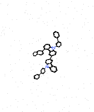 c1ccc(-c2ccc(-n3c4ccccc4c4cc(-c5ccc6c(c5)c5c(-c7ccc8ccccc8c7)cccc5n6-c5cccc(-c6ccccc6)c5)ccc43)cc2)cc1